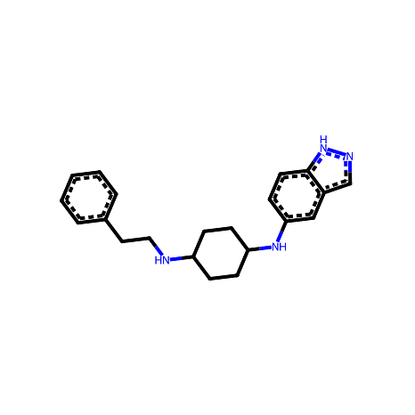 c1ccc(CCNC2CCC(Nc3ccc4[nH]ncc4c3)CC2)cc1